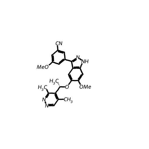 COc1cc(C#N)cc(-c2n[nH]c3cc(OC)c(O[C@@H](C)c4c(C)cnnc4C)cc23)c1